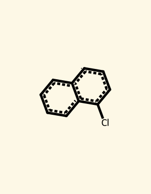 Clc1cc[c]c2ccccc12